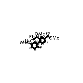 CCC(C)(C)C(OC)c1cc(C(=O)OC)ccc1-c1cc(OC)ccc1F